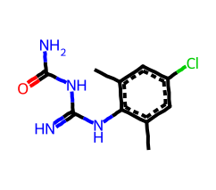 Cc1cc(Cl)cc(C)c1NC(=N)NC(N)=O